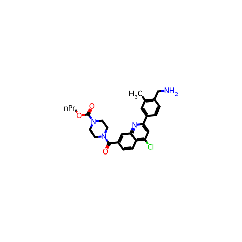 CCCOC(=O)N1CCN(C(=O)c2ccc3c(Cl)cc(-c4ccc(CN)c(C)c4)nc3c2)CC1